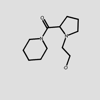 [O]CCN1CCCC1C(=O)N1CCCCC1